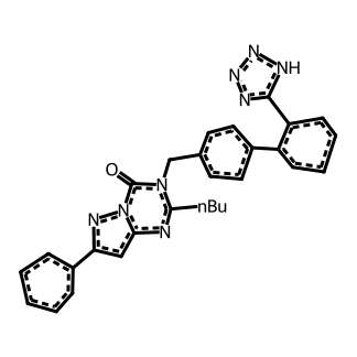 CCCCc1nc2cc(-c3ccccc3)nn2c(=O)n1Cc1ccc(-c2ccccc2-c2nnn[nH]2)cc1